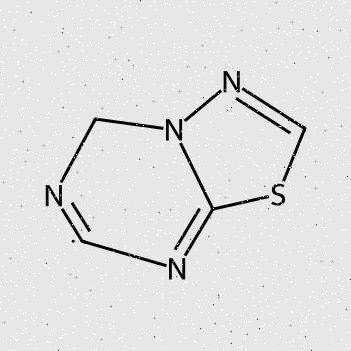 [C]1=NCN2N=CSC2=N1